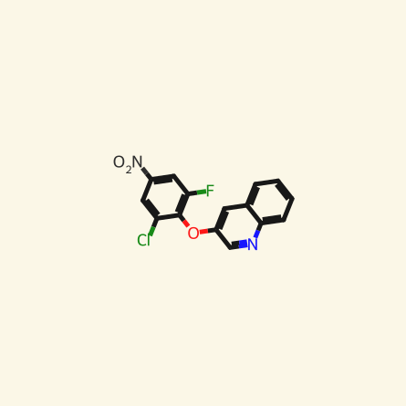 O=[N+]([O-])c1cc(F)c(Oc2cnc3ccccc3c2)c(Cl)c1